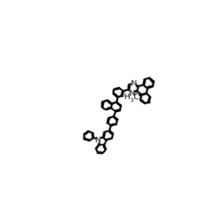 CC12C=CC=CC1c1ccccc1-c1ncc(-c3cccc(-c4ccc(-c5ccc(-c6ccc7c8ccccc8n(-c8ccccc8)c7c6)cc5)c5ccccc45)c3)nc12